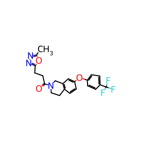 Cc1nnc(CCC(=O)N2CCc3ccc(Oc4ccc(C(F)(F)F)cc4)cc3C2)o1